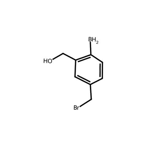 Bc1ccc(CBr)cc1CO